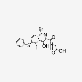 O=C(O)CNC(=O)c1nc(Br)c2ccc(Sc3ccccc3)c(I)c2c1O